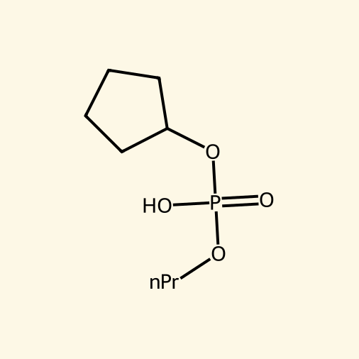 CCCOP(=O)(O)OC1CCCC1